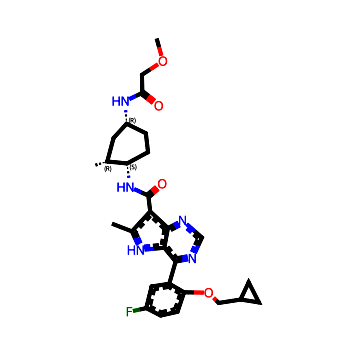 COCC(=O)N[C@@H]1CC[C@H](NC(=O)c2c(C)[nH]c3c(-c4cc(F)ccc4OCC4CC4)ncnc23)[C@H](C)C1